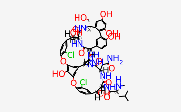 CN[C@H](CC(C)C)C(=O)N[C@H]1C(=O)N[C@@H](CC(N)=O)C(=O)N[C@H]2C(=N)N[C@H]3C(=O)N[C@H](C(=O)N[C@H](CO)c4cc(O)cc(O)c4-c4cc3ccc4O)[C@H](O)c3ccc(c(Cl)c3)Oc3cc2cc(c3O)Oc2ccc(cc2Cl)[C@H]1O